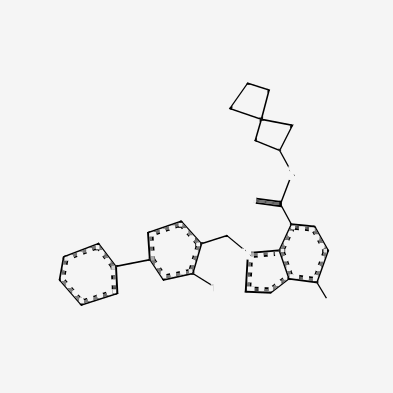 O=C(NC1CC2(CCC2)C1)c1ccc(F)c2ccn(Cc3ccc(-c4ccccc4)cc3F)c12